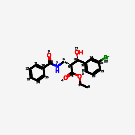 CCOC(=O)[C@H](CNC(=O)c1ccccc1)[C@H](O)c1cccc(Br)c1